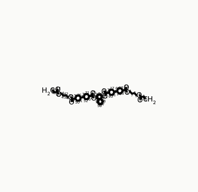 C=CC(=O)OCCCCOC(=O)C1CCC(C2CCC(C(=O)Oc3ccc(OC(=O)C4CCC(C5CCC(C(=O)OCCCCOC(=O)C=C)CC5)CC4)c4ccccc34)CC2)CC1